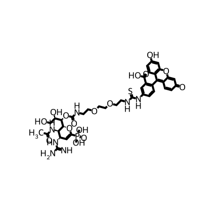 CC(=O)N[C@H]1[C@H]([C@H](OC(=O)NCCOCCOCCNC(=S)Nc2ccc(-c3c4ccc(=O)cc-4oc4cc(O)ccc34)c(C(=O)O)c2)[C@H](O)CO)OC(P(=O)(O)O)=C[C@@H]1NC(=N)N